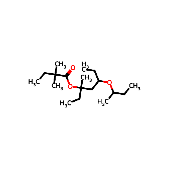 CCC(C)OC(CC)CC(C)(CC)OC(=O)C(C)(C)CC